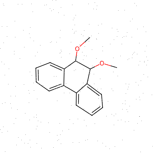 COC1c2ccccc2-c2ccccc2C1OC